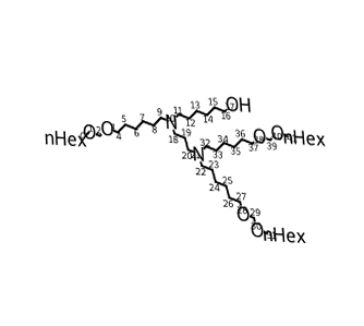 CCCCCCOCOCCCCCCN(CCCCCCO)CCCN(CCCCCCOCOCCCCCC)CCCCCCOCOCCCCCC